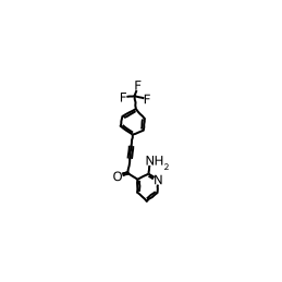 Nc1ncccc1C(=O)C#Cc1ccc(C(F)(F)F)cc1